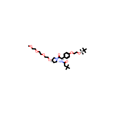 COCCOCCOCCO[C@H]1CCN(C(=O)[C@@H](NC(=O)CC(C)(C)C)c2ccc(OCCO[Si](C)(C)C(C)(C)C)cc2)C1